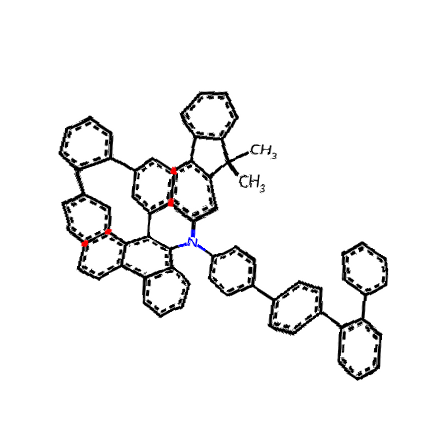 CC1(C)c2ccccc2-c2ccc(N(c3ccc(-c4ccc(-c5ccccc5-c5ccccc5)cc4)cc3)c3c(-c4cccc(-c5ccccc5-c5ccccc5)c4)c4ccccc4c4ccccc34)cc21